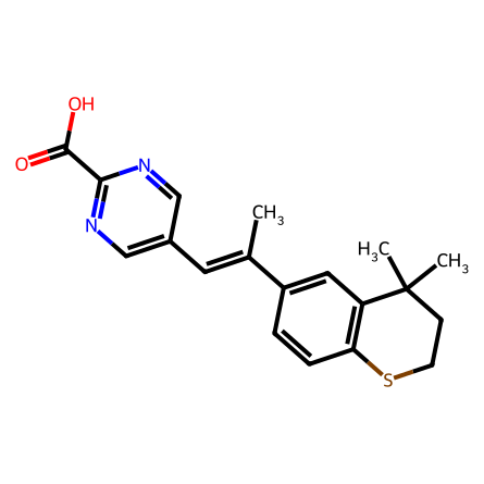 C/C(=C\c1cnc(C(=O)O)nc1)c1ccc2c(c1)C(C)(C)CCS2